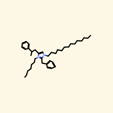 CCCCCCCCCCCCCCn1cc(CC(C)c2ccccc2)[n+](CCCCCCC)c1Cc1ccccc1